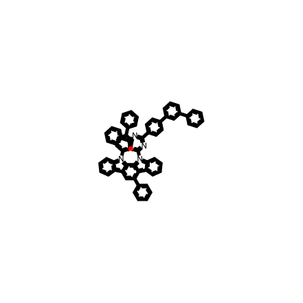 c1ccc(-c2ccc(-n3c4ccccc4c4cc(-c5ccccc5)c5c6ccccc6n(-c6nc(-c7ccccc7)nc(-c7ccc(-c8cccc(-c9ccccc9)c8)cc7)n6)c5c43)cc2)cc1